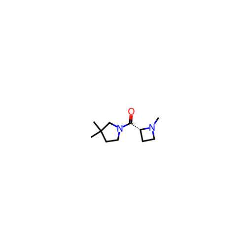 CN1CC[C@@H]1C(=O)N1CCC(C)(C)C1